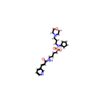 O=C(/C=C/c1cccnc1)NCCCCS(=O)(=O)N(CCCN1CCOCC1)C1CCCC1